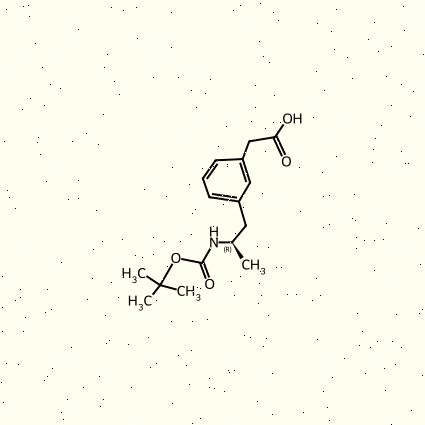 C[C@H](Cc1cccc(CC(=O)O)c1)NC(=O)OC(C)(C)C